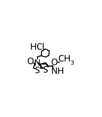 CCOC(=N)c1cc2c(s1)SCC(=O)N2CC1CCCCC1.Cl